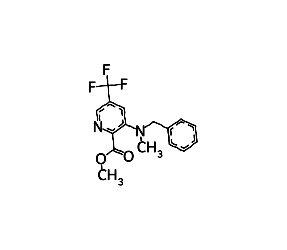 COC(=O)c1ncc(C(F)(F)F)cc1N(C)Cc1ccccc1